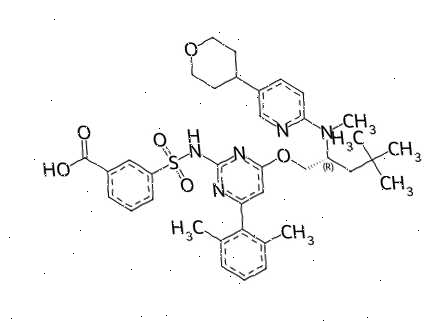 Cc1cccc(C)c1-c1cc(OC[C@@H](CC(C)(C)C)N(C)c2ccc(C3CCOCC3)cn2)nc(NS(=O)(=O)c2cccc(C(=O)O)c2)n1